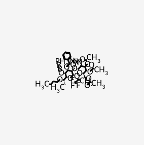 C=C(O[C@@H]1OC([C@H](CC)OCCCC)[C@@H](OB=BP)C(OC(=O)c2ccccc2)[C@H]1O[C@H]1O[C@H](COC(C)=O)[C@@H](OC(C)=O)C(OC(C)=O)C1N=[N+]=[N-])C(F)(F)F